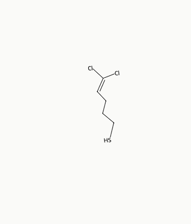 SCCCC=C(Cl)Cl